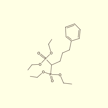 CCOP(=O)(OCC)C(CCCc1ccccc1)P(=O)(OCC)OCC